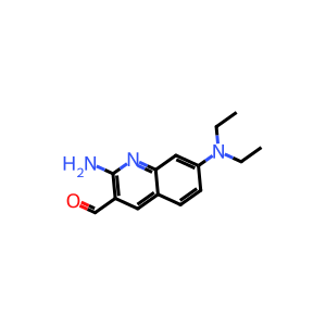 CCN(CC)c1ccc2cc(C=O)c(N)nc2c1